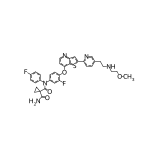 COCCNCCc1ccc(-c2cc3nccc(Oc4ccc(N(C(=O)C5(C(N)=O)CC5)c5ccc(F)cc5)cc4F)c3s2)nc1